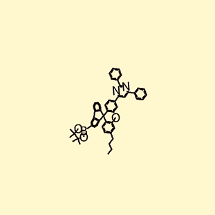 CCCCc1ccc2c(c1)Oc1cc(-c3cc(-c4ccccc4)nc(-c4ccccc4)n3)ccc1C21c2ccccc2-c2cc(B3OC(C)(C)C(C)(C)O3)ccc21